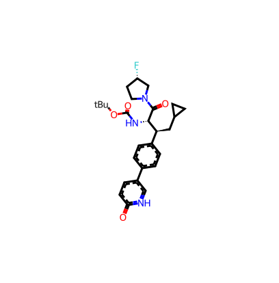 CC(C)(C)OC(=O)N[C@H](C(=O)N1CC[C@H](F)C1)[C@@H](CC1CC1)c1ccc(-c2ccc(=O)[nH]c2)cc1